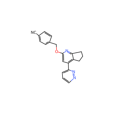 N#Cc1ccc(COc2cc(-c3cccnn3)c3c(n2)CCC3)cc1